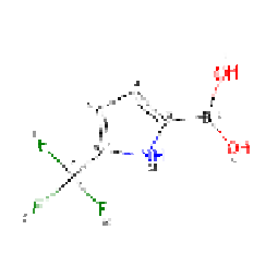 OB(O)c1ccc(C(F)(F)F)[nH]1